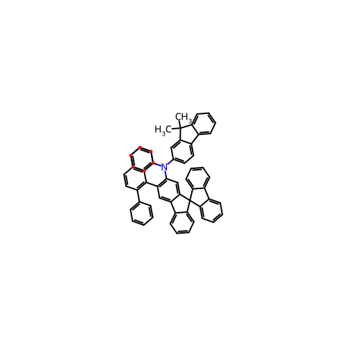 CC1(C)c2ccccc2-c2ccc(N(c3ccccc3)c3cc4c(cc3-c3c(-c5ccccc5)ccc5c3CCCC5)-c3ccccc3C43c4ccccc4-c4ccccc43)cc21